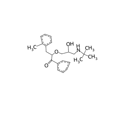 Cc1ccccc1CC(OCC(O)CNC(C)(C)C)C(=O)c1ccccc1